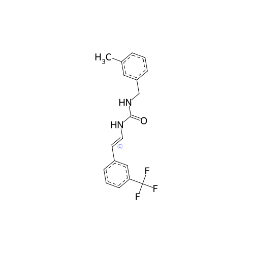 Cc1cccc(CNC(=O)N/C=C/c2cccc(C(F)(F)F)c2)c1